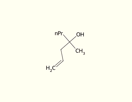 [CH2]CCC(C)(O)CC=C